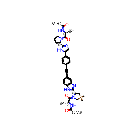 COC(=O)N[C@H](C(=O)N1CCC[C@H]1c1ncc(-c2ccc(C#Cc3ccc4[nH]c([C@@H]5CS(C)(C)CN5C(=O)[C@@H](NC(=O)OC)C(C)C)nc4c3)cc2)[nH]1)C(C)C